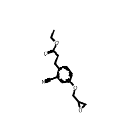 CCOC(=O)CCc1ccc(OCC2CO2)cc1C#N